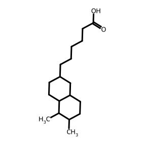 CC1CCC2CC(CCCCCC(=O)O)CCC2C1C